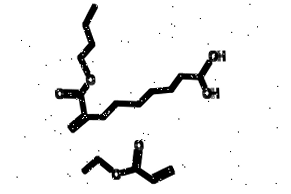 C=C(CCCCCCC(O)O)C(=O)OCCCC.C=CC(=O)OCC